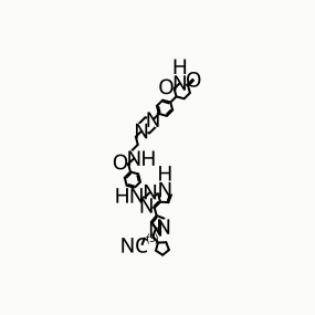 N#CC[C@@H](C1CCCC1)n1cc(-c2nc(Nc3ccc(C(=O)NCCCN4CCN(c5ccc(C6CCC(=O)NC6=O)cc5)CC4)cc3)nc3[nH]ccc23)cn1